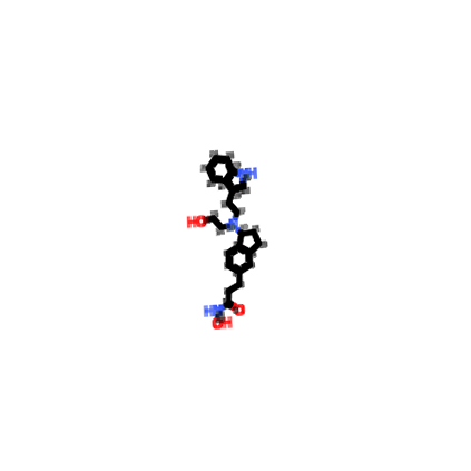 O=C(CCc1ccc2c(c1)CCC2N(CCO)CCc1c[nH]c2ccccc12)NO